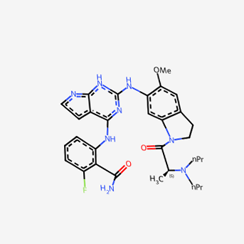 CCCN(CCC)[C@@H](C)C(=O)N1CCc2cc(OC)c(Nc3nc(Nc4cccc(F)c4C(N)=O)c4ccnc-4[nH]3)cc21